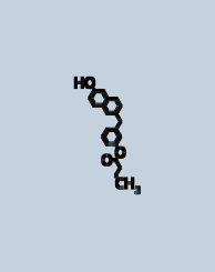 CCCC(=O)Oc1cccc(Cc2ccc3cc(O)ccc3c2)c1